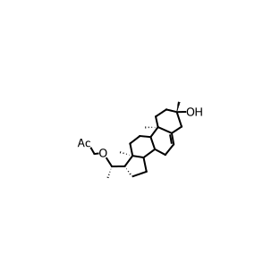 CC(=O)CO[C@@H](C)[C@H]1CCC2C3CC=C4C[C@@](C)(O)CC[C@]4(C)C3CC[C@@]21C